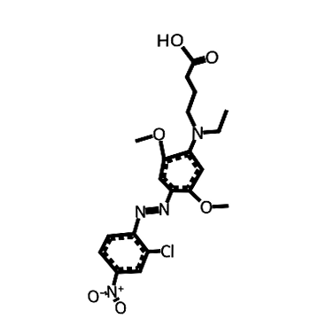 CCN(CCCC(=O)O)c1cc(OC)c(N=Nc2ccc([N+](=O)[O-])cc2Cl)cc1OC